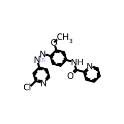 COc1cc(NC(=O)c2ccccn2)ccc1/N=N\c1ccnc(Cl)c1